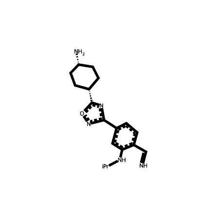 CC(C)Nc1cc(-c2noc([C@H]3CC[C@@H](N)CC3)n2)ccc1C=N